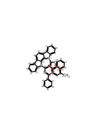 Cc1ccc2nc(-n3c4ccccc4c4ccc5c6ccccc6n(-c6nc(-c7ccccc7)nc(-c7ccccc7)n6)c5c43)oc2c1